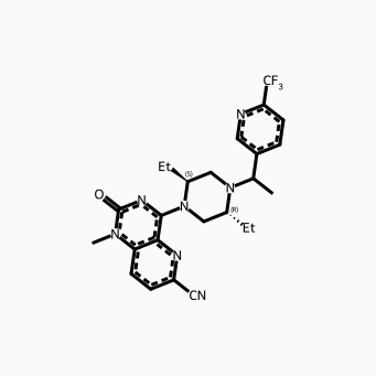 CC[C@H]1CN(C(C)c2ccc(C(F)(F)F)nc2)[C@H](CC)CN1c1nc(=O)n(C)c2ccc(C#N)nc12